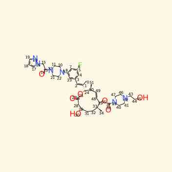 C/C(=C\c1cc(F)cc(N2CCN(C(=O)Cn3cccn3)CC2)c1)[C@H]1OC(=O)C[C@H](O)CC[C@H](C)[C@H](OC(=O)N2CCN(CCO)CC2)/C=C/[C@@H]1C